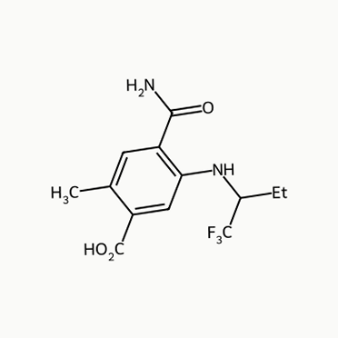 CCC(Nc1cc(C(=O)O)c(C)cc1C(N)=O)C(F)(F)F